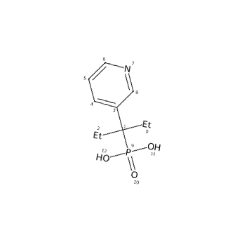 CCC(CC)(c1cccnc1)P(=O)(O)O